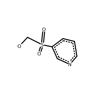 [O]CS(=O)(=O)c1cccnc1